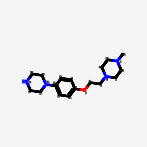 CN1CCN(CCOc2ccc(N3CCNCC3)cc2)CC1